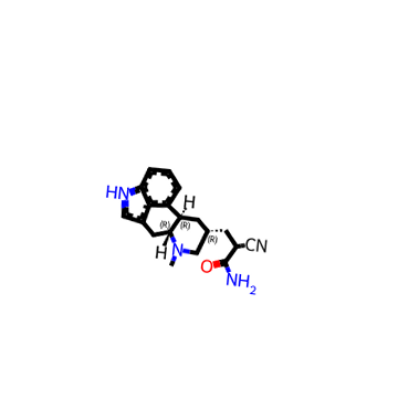 CN1C[C@@H](CC(C#N)C(N)=O)C[C@@H]2c3cccc4[nH]cc(c34)C[C@H]21